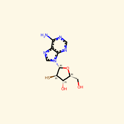 Nc1ncnc2c1ncn2[C@@H]1O[C@H](CO)[C@H](O)[C@H]1S